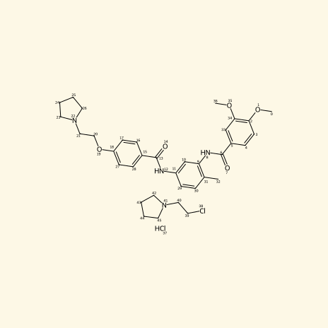 COc1ccc(C(=O)Nc2cc(NC(=O)c3ccc(OCCN4CCCC4)cc3)ccc2C)cc1OC.Cl.ClCCN1CCCC1